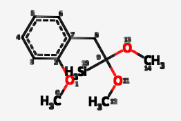 COc1ccccc1CC([SiH3])(OC)OC